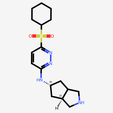 O=S(=O)(c1ccc(N[C@@H]2CC3CNC[C@H]3C2)nn1)C1CCCCC1